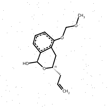 C=CC[C@H]1Cc2c(OCOC)cccc2C(O)O1